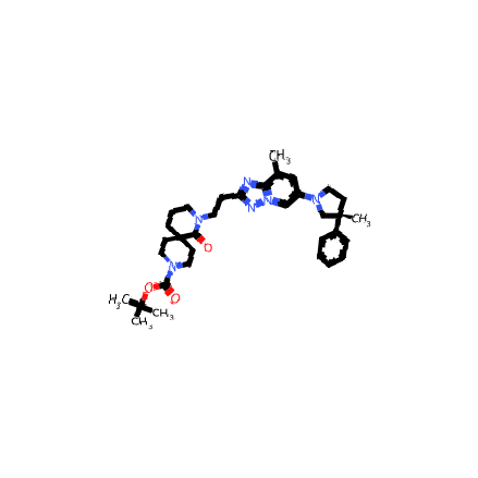 Cc1cc(N2CC[C@](C)(c3ccccc3)C2)cn2nc(CCN3CCCC4(CCN(C(=O)OC(C)(C)C)CC4)C3=O)nc12